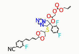 C=CCOC(=O)OCC(=O)OC(Cn1cncn1)(c1ccc(F)cc1F)C(C)SC1COC(C=CC=Cc2ccc(C#N)cc2F)OC1